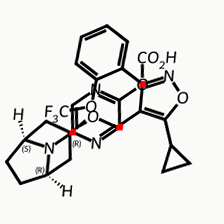 O=C(O)Oc1cnc(N2[C@@H]3CC[C@H]2C[C@@H](OCc2c(-c4ccccc4OC(F)(F)F)noc2C2CC2)C3)cn1